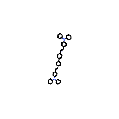 C1=CCCC(N(C2=CCCC=C2)c2ccc(/C=C/c3ccc(-c4ccc(/C=C/c5ccc(N(C6=CC=CCC6)c6ccccc6)cc5)cc4)cc3)cc2)=C1